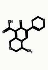 CC1COCc2c(C(=O)O)c(=O)c(C3=CCOCC3)cn21